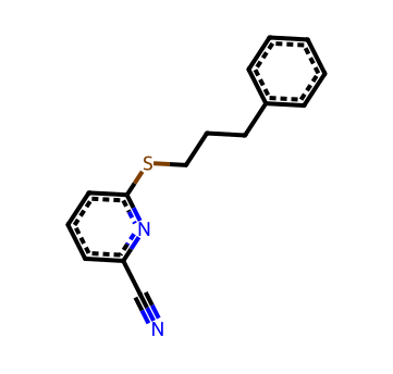 N#Cc1cccc(SCCCc2ccccc2)n1